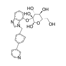 OC[C@@H]1O[C@@H](O)[C@](O)(Oc2cccc3ncn(Cc4ccc(-c5cccnc5)cc4)c23)[C@H](O)[C@H]1O